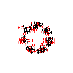 OC[C@H]1O[C@@H]2O[C@H]3[C@H](O)[C@@H](O)[C@@H](O[C@H]4[C@H](O)[C@@H](O)[C@@H](OC5[C@@H](CO)O[C@H](O[C@H]6[C@H](O)[C@@H](O)[C@@H](O[C@H]7[C@H](O)[C@@H](O)[C@@H](O[C@H]8[C@H](O)[C@@H](O)[C@@H](OC1[C@H](O)[C@H]2O)O[C@@H]8CO)O[C@@H]7CO)O[C@@H]6CO)[C@H](O)[C@H]5O)O[C@@H]4CO)O[C@@H]3CO